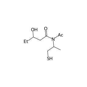 CCC(O)CC(=O)N(C(C)=O)C(C)CS